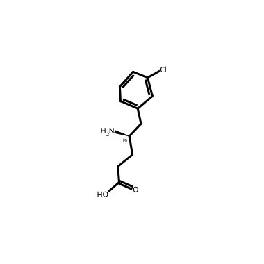 N[C@H](CCC(=O)O)Cc1cccc(Cl)c1